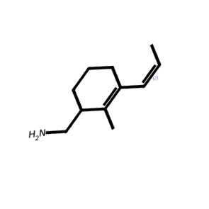 C/C=C\C1=C(C)C(CN)CCC1